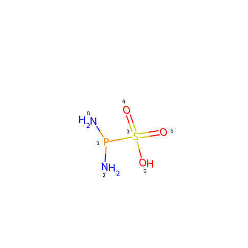 NP(N)S(=O)(=O)O